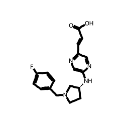 O=C(O)/C=C/c1cnc(N[C@@H]2CCN(Cc3ccc(F)cc3)C2)cn1